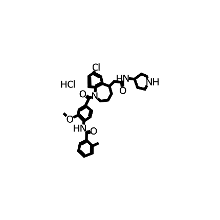 COc1cc(C(=O)N2CCCC(CC(=O)NC3CCNCC3)c3cc(Cl)ccc32)ccc1NC(=O)c1ccccc1C.Cl